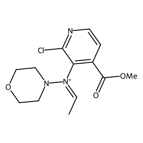 CC=[N+](c1c(C(=O)OC)ccnc1Cl)N1CCOCC1